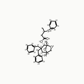 CC(CC(=O)O[C@@H]1[C@@H]2OC[C@H](CC1(Cc1ccccc1)Cc1ccccc1)O2)Sc1ccccc1